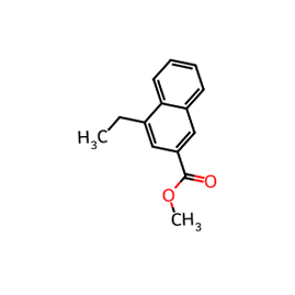 CCc1cc(C(=O)OC)cc2ccccc12